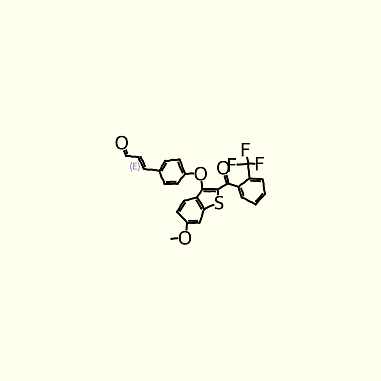 COc1ccc2c(Oc3ccc(/C=C/C=O)cc3)c(C(=O)c3ccccc3C(F)(F)F)sc2c1